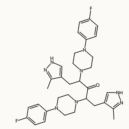 Cc1n[nH]cc1CC(C(=O)C(Cc1c[nH]nc1C)N1CCN(c2ccc(F)cc2)CC1)N1CCN(c2ccc(F)cc2)CC1